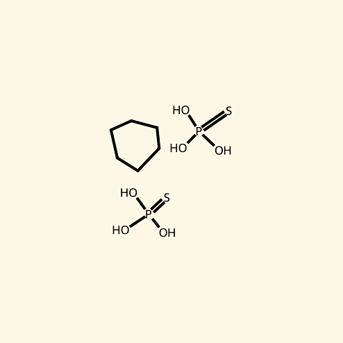 C1CCCCC1.OP(O)(O)=S.OP(O)(O)=S